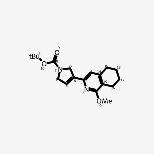 COc1nc(C2=CCN(C(=O)OC(C)(C)C)C2)cc2c1CCCC2